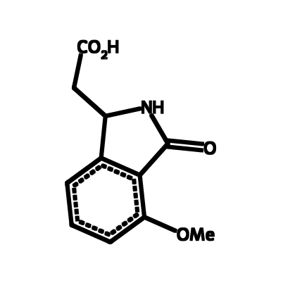 COc1cccc2c1C(=O)NC2CC(=O)O